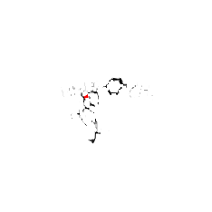 COc1ccc(Oc2ccc(C3(CC(=O)NO)CCN(C(=O)C4CC4)CCS3(=O)=O)cc2)cc1